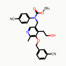 Cc1ncc(CN(C(=O)OC(C)(C)C)c2ccc(C#N)cc2)c(CCO)c1OCc1cccc(C#N)c1